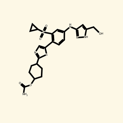 NC(=O)OC1CCC(c2ncc(-c3ccc(Nc4cc(CO)[nH]n4)cc3S(=O)(=O)C3CC3)s2)CC1